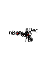 CCCCCCCCCCCCCCNC(=O)C(CC(=O)OCc1ccccc1)NC(=O)COCCOCCOCCOCCCC